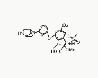 COC1(C(=O)O)C(NS(C)(=O)=O)c2cc(C(C)(C)C)cc(Oc3ccnc(N4CC5CC4CN5)n3)c2N1C